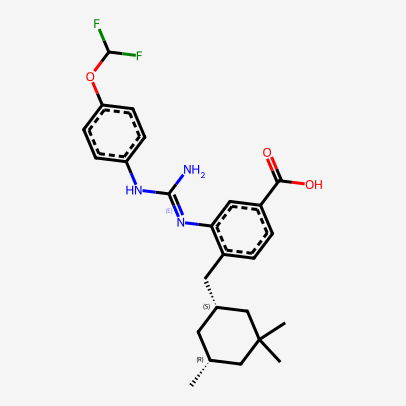 C[C@@H]1C[C@H](Cc2ccc(C(=O)O)cc2/N=C(\N)Nc2ccc(OC(F)F)cc2)CC(C)(C)C1